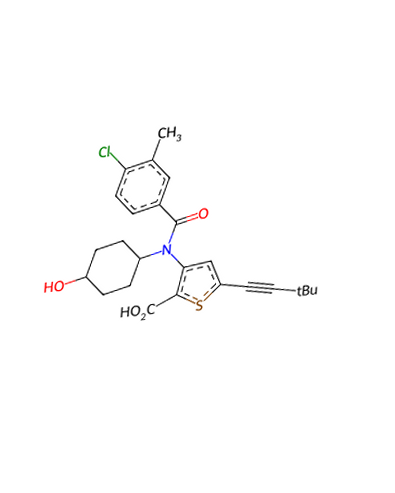 Cc1cc(C(=O)N(c2cc(C#CC(C)(C)C)sc2C(=O)O)C2CCC(O)CC2)ccc1Cl